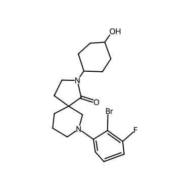 O=C1N(C2CCC(O)CC2)CCC12CCCN(c1cccc(F)c1Br)C2